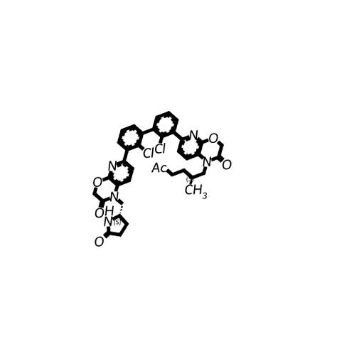 CC(=O)CC[C@H](C)CN1C(=O)COc2nc(-c3cccc(-c4cccc(-c5ccc6c(n5)OCC(=O)N6C[C@@H]5CCC(=O)N5)c4Cl)c3Cl)ccc21